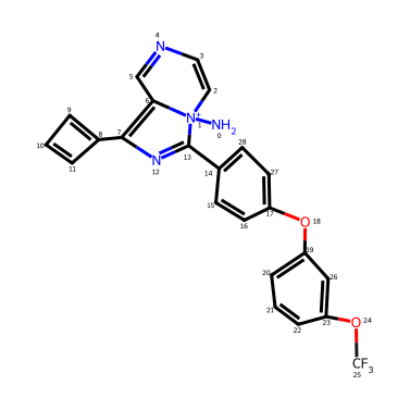 N[N+]12C=CN=CC1=C(C1=CC=C1)N=C2c1ccc(Oc2cccc(OC(F)(F)F)c2)cc1